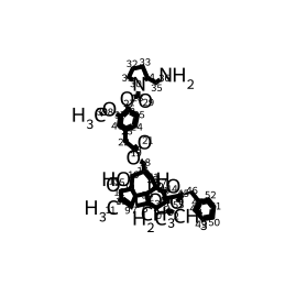 C=C(C)[C@]12C[C@]3(C)C[C@@]45C=C(C)C(=O)[C@@]4(O)CC(COC(=O)Cc4ccc(OC(=O)N6CCCC6CN)c(OC)c4)=C[C@H]4[C@H]1O[C@@](Cc1ccccc1)(O[C@@]435)O2